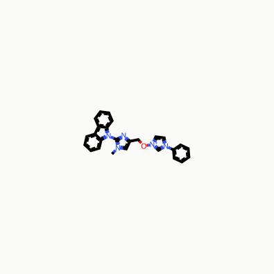 Cn1cc(CO[n+]2ccn(-c3ccccc3)c2)nc1-n1c2ccccc2c2ccccc21